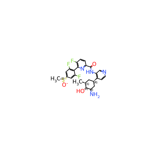 C[C@H]1C[C@@H](c2ccncc2NC(=O)c2ccc(F)c(-c3c(F)cc([S@@+](C)[O-])cc3F)n2)C[C@@H](N)[C@@H]1O